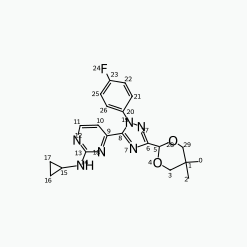 CC1(C)COC(c2nc(-c3ccnc(NC4CC4)n3)n(-c3ccc(F)cc3)n2)OC1